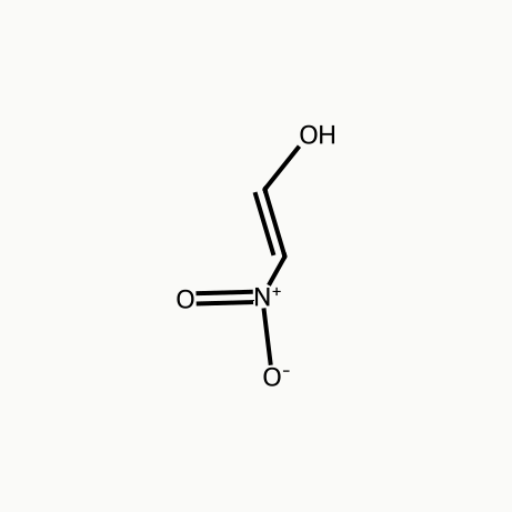 O=[N+]([O-])C=CO